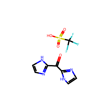 O=C(c1ncc[nH]1)c1ncc[nH]1.O=S(=O)(O)C(F)(F)F